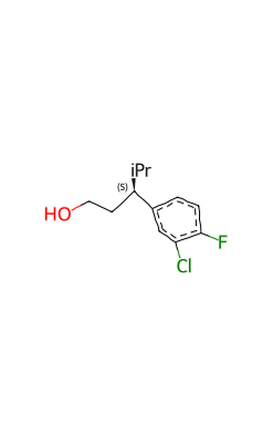 CC(C)[C@H](CCO)c1ccc(F)c(Cl)c1